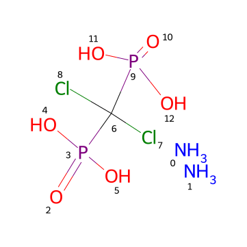 N.N.O=P(O)(O)C(Cl)(Cl)P(=O)(O)O